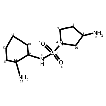 NC1CCN(S(=O)(=O)NC2CCCCC2N)C1